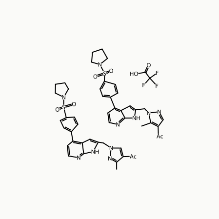 CC(=O)c1cn(Cc2cc3c(-c4ccc(S(=O)(=O)N5CCCC5)cc4)ccnc3[nH]2)nc1C.CC(=O)c1cnn(Cc2cc3c(-c4ccc(S(=O)(=O)N5CCCC5)cc4)ccnc3[nH]2)c1C.O=C(O)C(F)(F)F